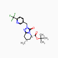 C[C@@H]1Cc2nn(Cc3ccc(C(F)(F)F)nc3)c(=O)n2[C@H](C(=O)OC(C)(C)C)C1